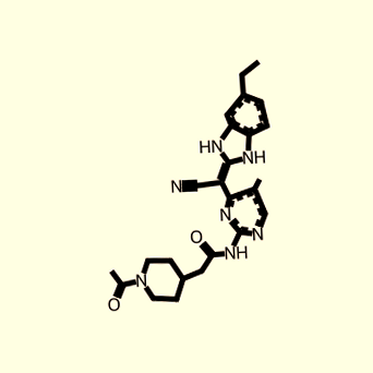 CCc1ccc2c(c1)N/C(=C(\C#N)c1nc(NC(=O)CC3CCN(C(C)=O)CC3)ncc1C)N2